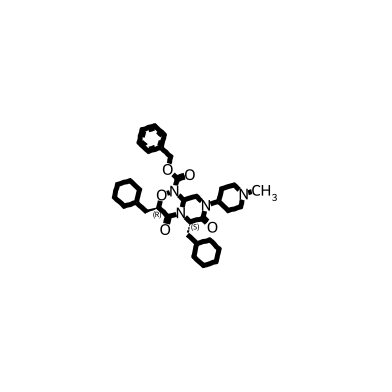 CN1CCC(N2CC3N(C(=O)OCc4ccccc4)O[C@H](CC4CCCCC4)C(=O)N3[C@@H](CC3CCCCC3)C2=O)CC1